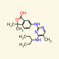 CCC(CC)Nc1nc(Nc2ccc3c(c2)B(O)OC3(C)C)ncc1C